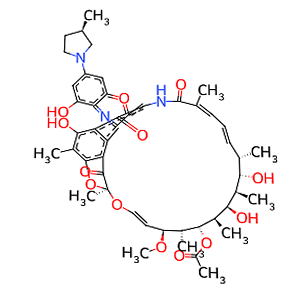 CO[C@H]1/C=C/O[C@@]2(C)Oc3c(C)c(O)c4c(=O)c(c5oc6cc(N7CC[C@@H](C)C7)cc(O)c6nc-5c4c3C2=O)NC(=O)/C(C)=C\C=C\[C@H](C)[C@H](O)[C@@H](C)[C@@H](O)[C@@H](C)[C@H](OC(C)=O)[C@@H]1C